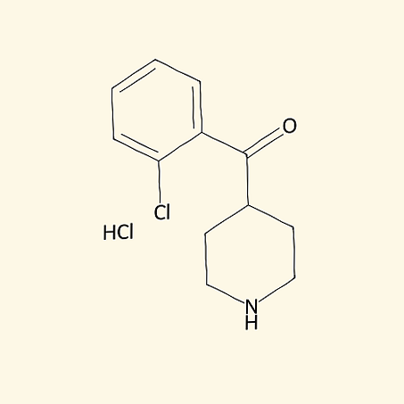 Cl.O=C(c1ccccc1Cl)C1CCNCC1